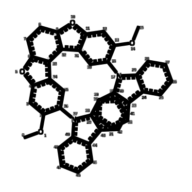 COc1cc2oc3ccc4oc5cc(OC)c(-n6c7ccccc7c7ccccc76)cc5c4c3c2cc1-n1c2ccccc2c2ccccc21